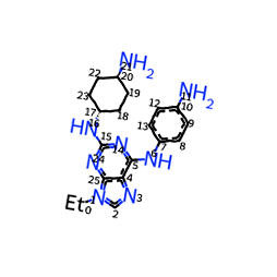 CCn1cnc2c(Nc3ccc(N)cc3)nc(N[C@H]3CC[C@H](N)CC3)nc21